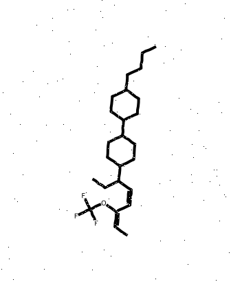 C/C=C(\C=C/C(CC)C1CCC(C2CCC(CCCC)CC2)CC1)OC(F)(F)F